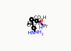 CC(C)CNC(=O)c1ccc(-c2ccccc2C#Cc2ccc(C(=N)N)cc2)c(C(=O)O)c1.CS(=O)(=O)O